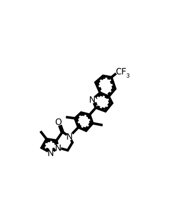 Cc1cc(N2CCn3ncc(C)c3C2=O)c(C)cc1-c1ccc2cc(C(F)(F)F)ccc2n1